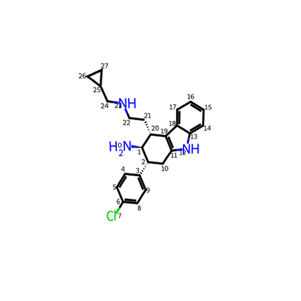 N[C@@H]1[C@@H](c2ccc(Cl)cc2)Cc2[nH]c3ccccc3c2[C@H]1CCNCC1CC1